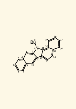 CCC(C)n1c2cc3ccccc3cc2c2ccc3ccccc3c21